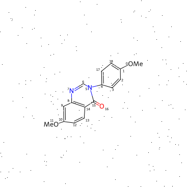 COc1ccc(-n2cnc3cc(OC)ccc3c2=O)cc1